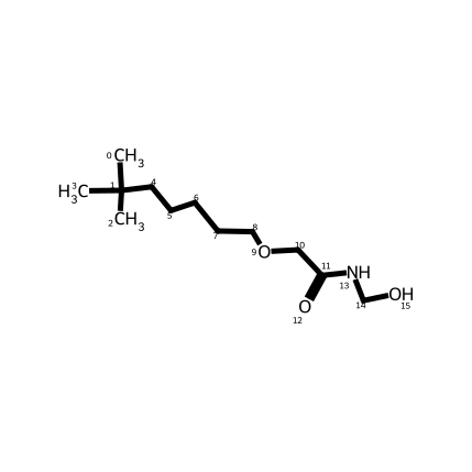 CC(C)(C)CCCCCOCC(=O)NCO